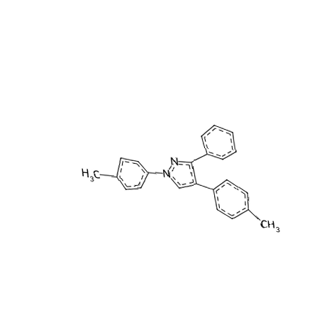 Cc1ccc(-c2cn(-c3ccc(C)cc3)nc2-c2ccccc2)cc1